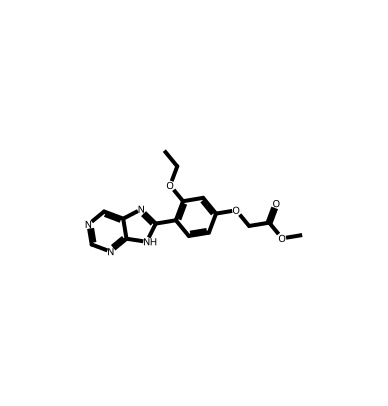 CCOc1cc(OCC(=O)OC)ccc1-c1nc2cncnc2[nH]1